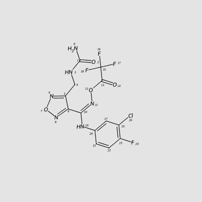 NC(=O)NCc1nonc1C(=NOC(=O)C(F)(F)F)Nc1ccc(F)c(Cl)c1